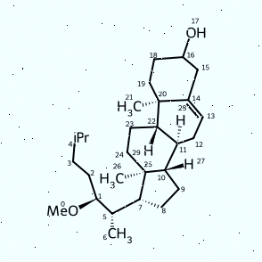 CO[C@@H](CCC(C)C)[C@@H](C)[C@H]1CC[C@H]2[C@@H]3CC=C4CC(O)CC[C@]4(C)[C@H]3CC[C@]12C